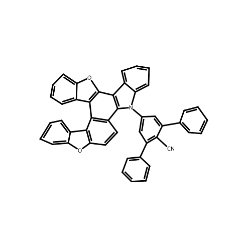 N#Cc1c(-c2ccccc2)cc(-n2c3ccccc3c3c4oc5ccccc5c4c4c(ccc5oc6ccccc6c54)c32)cc1-c1ccccc1